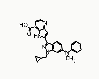 CN(c1ccccc1)c1ccc2c(-c3cc4nccc(C(=O)O)c4[nH]3)nn(CC3CC3)c2c1